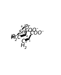 C=CC(=O)[O-].C=CC(=O)[O-].C[CH](C)[Sn+2][CH](C)C